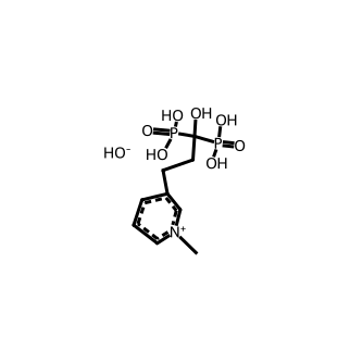 C[n+]1cccc(CCC(O)(P(=O)(O)O)P(=O)(O)O)c1.[OH-]